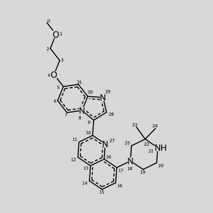 COCCOc1ccn2c(-c3ccc4cccc(N5CCNC(C)(C)C5)c4n3)cnc2c1